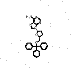 Nc1ncnc2c1ncn2[C@H]1CC[C@@H](COC(c2ccccc2)(c2ccccc2)c2ccccc2)O1